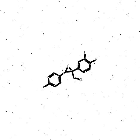 Fc1ccc(C2OC2(CCl)c2ccc(F)c(F)c2)cc1